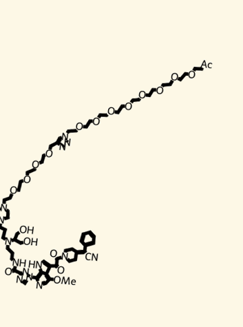 COc1cnc(-n2cnc(C(=O)NCCCN(CCCN3CCN(CCOCCOCCOCCOCc4cn(CCOCCOCCOCCOCCOCCOCCOCCOCCC(C)=O)nn4)CC3)C(CO)CO)n2)c2[nH]cc(C(=O)C(=O)N3CCC(=C(C#N)c4ccccc4)CC3)c12